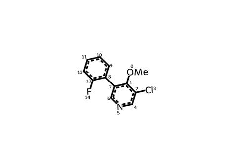 COc1c(Cl)cncc1-c1ccccc1F